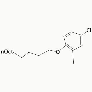 CCCCCCCCCCCCOc1ccc(Cl)cc1C